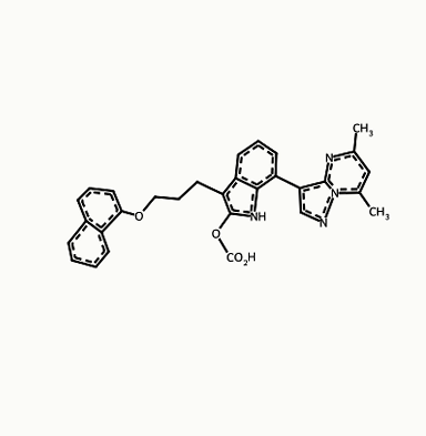 Cc1cc(C)n2ncc(-c3cccc4c(CCCOc5cccc6ccccc56)c(OC(=O)O)[nH]c34)c2n1